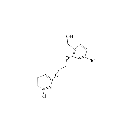 OCc1ccc(Br)cc1OCCOc1cccc(Cl)n1